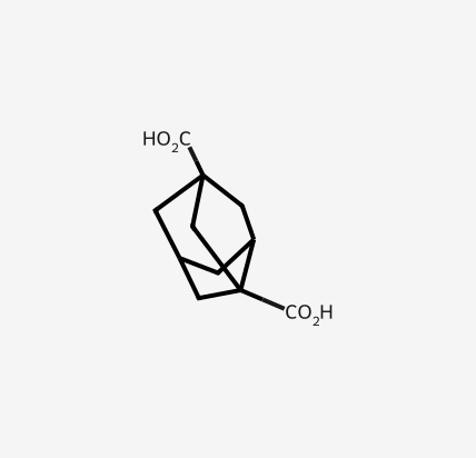 O=C(O)C12CC3CC(C1)C(C(=O)O)(C3)C2